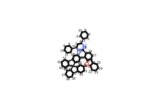 c1ccc(-c2cc(-c3ccccc3)nc(-c3ccc4c(oc5ccccc54)c3-c3ccc4c(c3)C3(c5ccccc5-c5ccccc53)c3ccccc3-4)n2)cc1